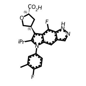 Cc1cc(-n2c(C(C)C)c([C@H]3CO[C@H](C(=O)O)C3)c3c(F)c4[nH]ncc4cc32)ccc1F